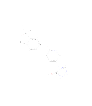 CCC1(CC)OCc2ccc(Oc3ccc(-n4c(C)n[nH]c4=O)cn3)cc21